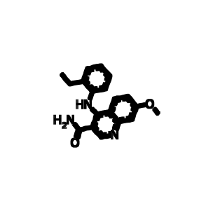 CCc1ccccc1Nc1c(C(N)=O)cnc2cc(OC)ccc12